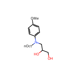 CCCCCCCCN(CC(O)CO)c1ccc(OC)cc1